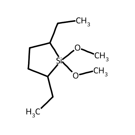 CCC1CCC(CC)[Si]1(OC)OC